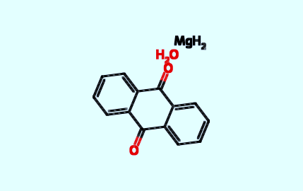 O.O=C1c2ccccc2C(=O)c2ccccc21.[MgH2]